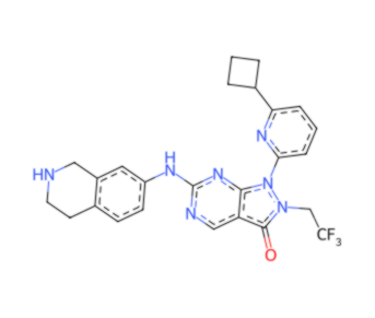 O=c1c2cnc(Nc3ccc4c(c3)CNCC4)nc2n(-c2cccc(C3CCC3)n2)n1CC(F)(F)F